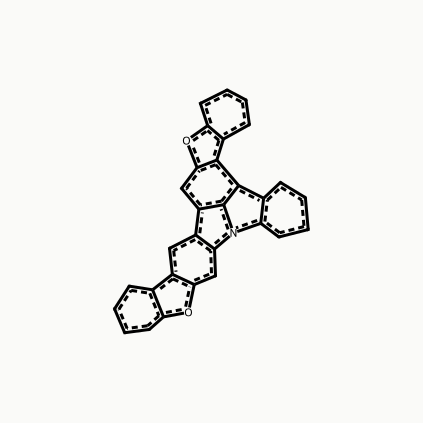 c1ccc2c(c1)oc1cc3c(cc12)c1cc2oc4ccccc4c2c2c4ccccc4n3c12